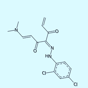 C=CC(=O)C(=NNc1ccc(Cl)cc1Cl)C(=O)C=CN(C)C